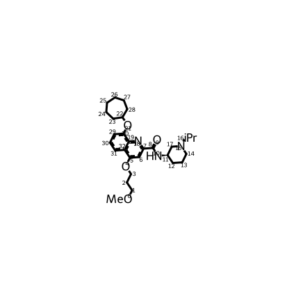 COCCCOc1cc(C(=O)N[C@@H]2CCCN(C(C)C)C2)nc2c(OC3CCCCCC3)cccc12